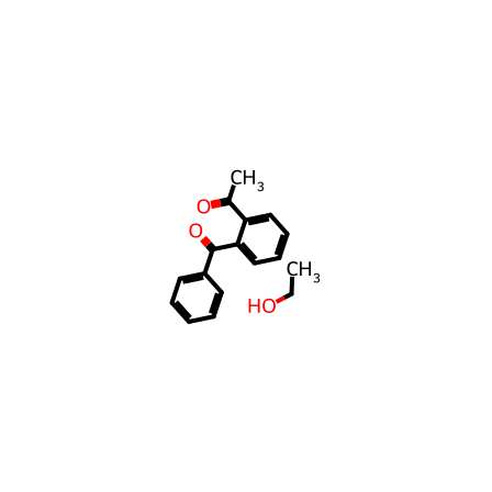 CC(=O)c1ccccc1C(=O)c1ccccc1.CCO